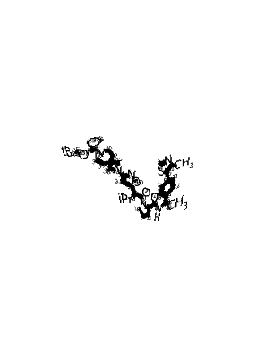 Cc1ncsc1-c1ccc(C(C)NC(=O)C2CCCN2C(=O)C(c2cc(N3CC4(CCN(C(=O)OC(C)(C)C)CC4)C3)no2)C(C)C)cc1